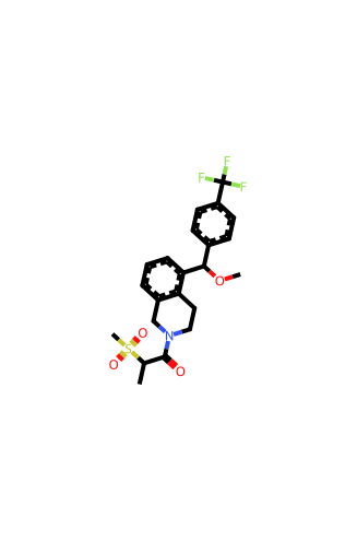 COC(c1ccc(C(F)(F)F)cc1)c1cccc2c1CCN(C(=O)C(C)S(C)(=O)=O)C2